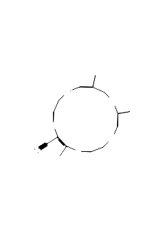 C/C1=C(\C#N)SCCOCC(C)COC(C)COCCS1